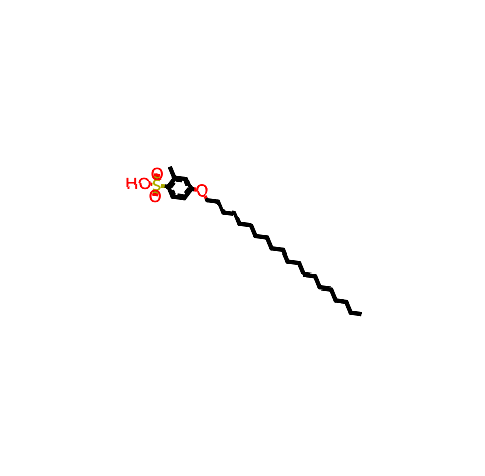 CCCCCCCCCCCCCCCCCCCCOc1ccc(S(=O)(=O)O)c(C)c1